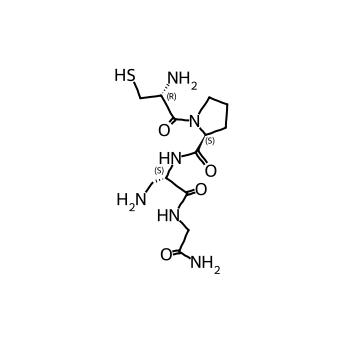 NC[C@H](NC(=O)[C@@H]1CCCN1C(=O)[C@@H](N)CS)C(=O)NCC(N)=O